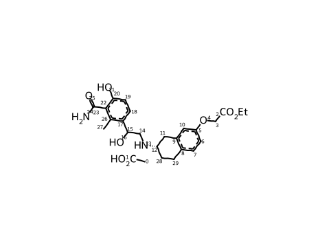 CC(=O)O.CCOC(=O)COc1ccc2c(c1)C[C@@H](NCC(O)c1ccc(O)c(C(N)=O)c1C)CC2